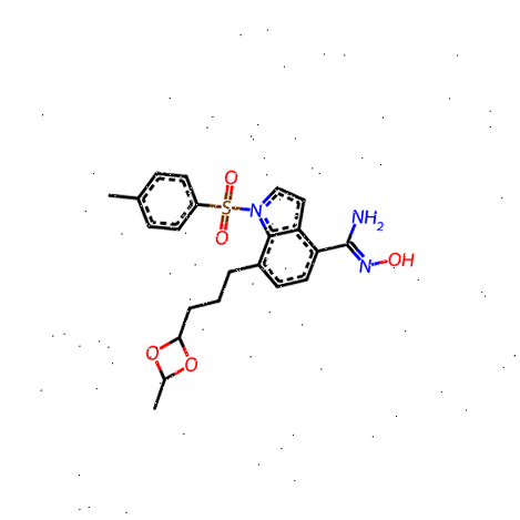 Cc1ccc(S(=O)(=O)n2ccc3c(/C(N)=N/O)ccc(CCCC4OC(C)O4)c32)cc1